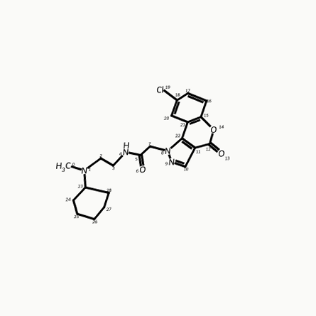 CN(CCNC(=O)Cn1ncc2c(=O)oc3ccc(Cl)cc3c21)C1CCCCC1